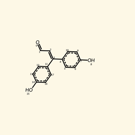 O=CC=C(c1ccc(O)cc1)c1ccc(O)cc1